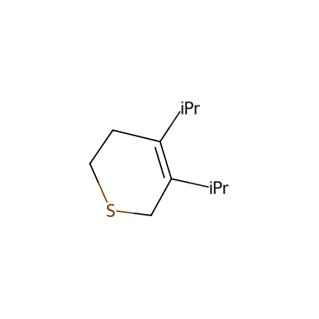 CC(C)C1=C(C(C)C)CSCC1